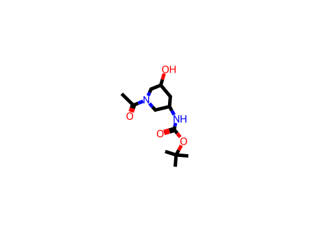 CC(=O)N1CC(O)CC(NC(=O)OC(C)(C)C)C1